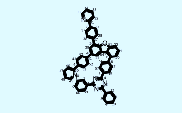 c1ccc(-c2nc(-c3ccccc3)nc(-c3ccc(-c4cccc5oc6c(-c7ccc(-c8ccccn8)cc7)cc(-c7ccc(-c8ccccn8)cc7)cc6c45)cc3)n2)cc1